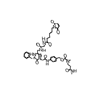 CNC(=O)CCN(C)C(=O)OCc1ccc(NC(=O)CNC(=O)[C@H](Cc2ccccc2)NC(=O)CNC(=O)CNC(=O)CCCCCN2C(=O)C=CC2=O)cc1